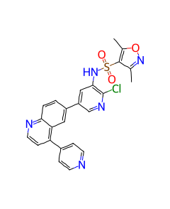 Cc1noc(C)c1S(=O)(=O)Nc1cc(-c2ccc3nccc(-c4ccncc4)c3c2)cnc1Cl